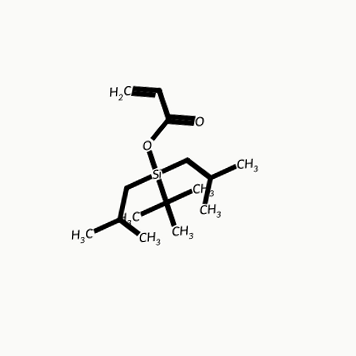 C=CC(=O)O[Si](CC(C)C)(CC(C)C)C(C)(C)C